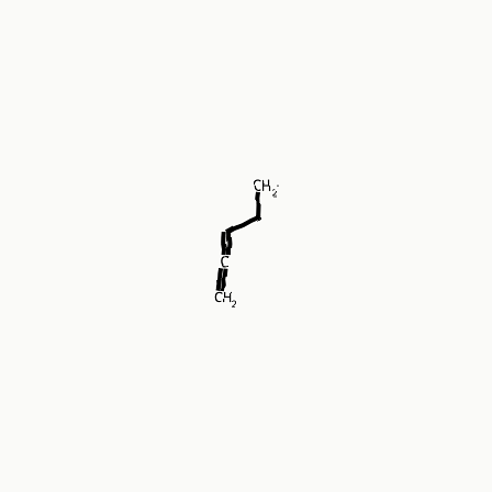 [CH2]CC=C=C